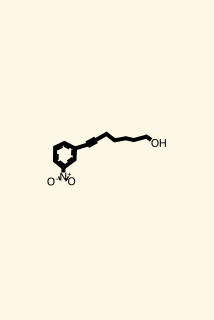 O=[N+]([O-])c1cccc(C#CCCCCCO)c1